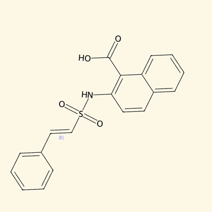 O=C(O)c1c(NS(=O)(=O)/C=C/c2ccccc2)ccc2ccccc12